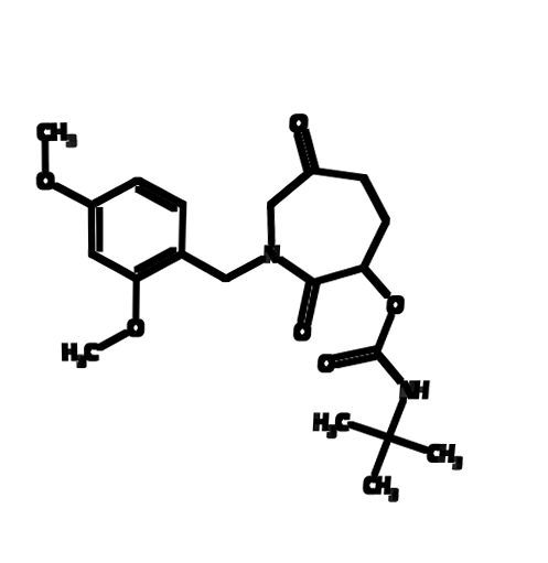 COc1ccc(CN2CC(=O)CCC(OC(=O)NC(C)(C)C)C2=O)c(OC)c1